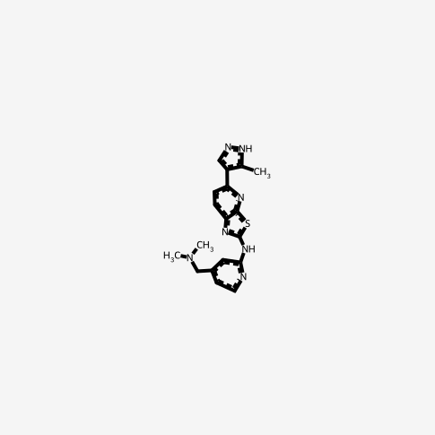 Cc1[nH]ncc1-c1ccc2nc(Nc3cc(CN(C)C)ccn3)sc2n1